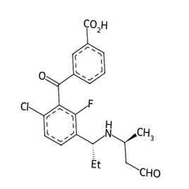 CC[C@@H](N[C@@H](C)CC=O)c1ccc(Cl)c(C(=O)c2cccc(C(=O)O)c2)c1F